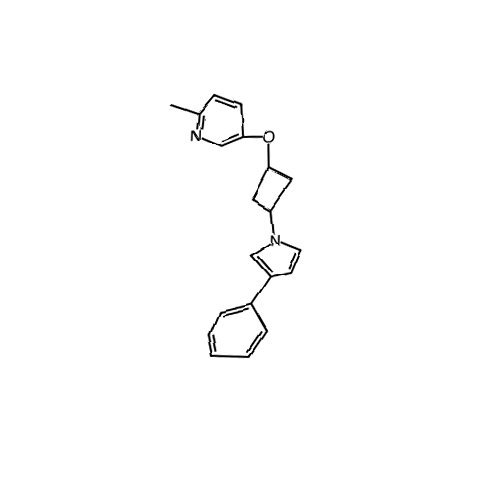 Cc1ccc(OC2CC(n3ccc(-c4ccccc4)c3)C2)cn1